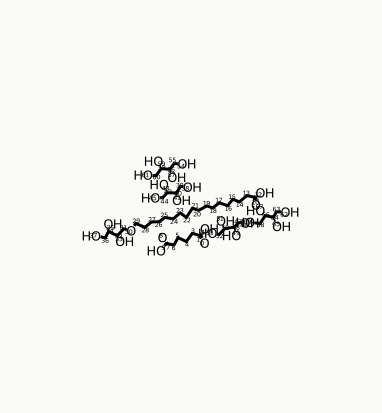 O=C(O)CCCCC(=O)O.O=C(O)CCCCCCCCCCCCCCCCCOC[C@H](O)[C@H](O)CO.OC[C@@H](O)[C@@H](O)CO.OC[C@@H](O)[C@@H](O)CO.OC[C@@H](O)[C@@H](O)CO.OC[C@@H](O)[C@@H](O)CO